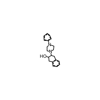 OC1Cc2ccccc2CC1N1CCN(c2ccccc2)CC1